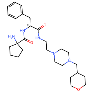 NC1(C(=O)N[C@H](Cc2ccccc2)C(=O)NCCN2CCN(CC3CCOCC3)CC2)CCCC1